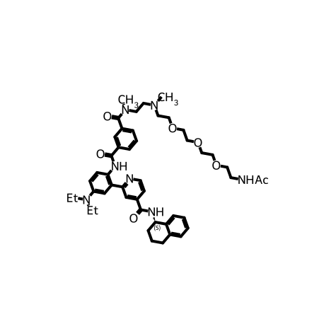 CCN(CC)c1ccc(NC(=O)c2cccc(C(=O)N(C)CCN(C)CCOCCOCCOCCNC(C)=O)c2)c(-c2cc(C(=O)N[C@H]3CCCc4ccccc43)ccn2)c1